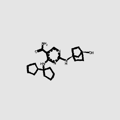 NC(=O)c1cnc(N[C@]23CC[C@](O)(CC2)C3)nc1NC1(C2CCCC2)CCCC1